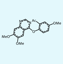 COc1ccc(Oc2ncnc3cc(OC)c(OC)cc23)c(C(C)=O)c1